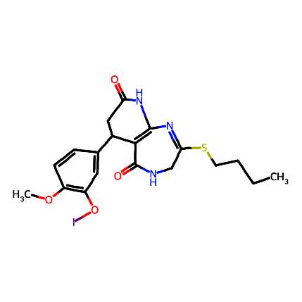 CCCCSC1=NC2=C(C(=O)NC1)C(c1ccc(OC)c(OI)c1)CC(=O)N2